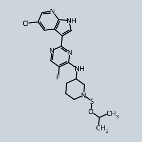 CC(C)OSN1CCCC(Nc2nc(-c3c[nH]c4ncc(Cl)cc34)ncc2F)C1